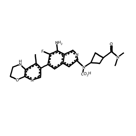 Cc1c(-c2cc3cc(N(C(=O)O)C4CC(C(=O)N(C)C)C4)ncc3c(N)c2F)cnc2c1NCCO2